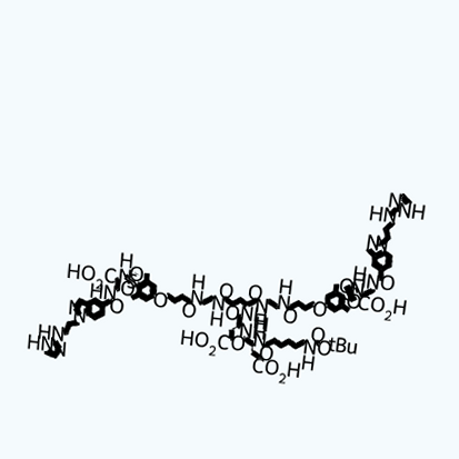 Cc1cc(OCCCC(=O)NCCNC(=O)CCC(NC(=O)[C@@H](CCC(=O)O)NC(=O)[C@@H](CCC(=O)O)NC(=O)CCCCCNC(=O)OC(C)(C)C)C(=O)NCCNC(=O)CCCOc2cc(C)c(S(=O)(=O)N[C@H](CNC(=O)c3ccc4c(cnn4CCCNc4ncc[nH]4)c3)C(=O)O)c(C)c2)cc(C)c1S(=O)(=O)N[C@@H](CNC(=O)c1ccc2c(cnn2CCCNc2ncc[nH]2)c1)C(=O)O